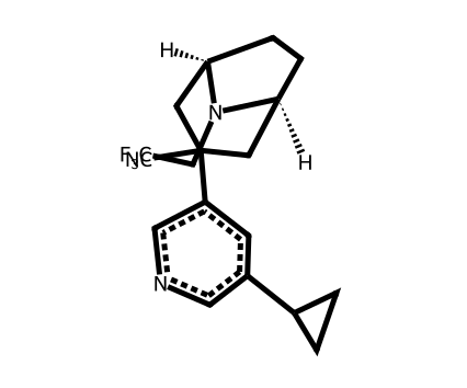 N#CC1(c2cncc(C3CC3)c2)C[C@H]2CC[C@@H](C1)N2CC(F)(F)F